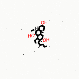 CCC[C@@H](C)[C@H]1CCC2C3C(C[C@H](O)[C@@]21C)[C@@]1(C)CC[C@@H](O)C[C@H]1[C@@H](CC)[C@@H]3O